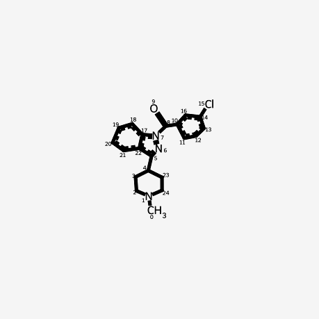 CN1CCC(c2nn(C(=O)c3cccc(Cl)c3)c3ccccc23)CC1